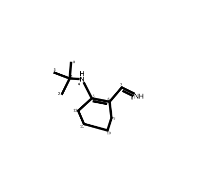 CC(C)(C)NC1=C(C=N)CCCC1